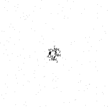 C=C.NNN